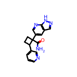 NC(=O)C1(c2cnc3[nH]ncc3c2)CCC1c1cccnc1